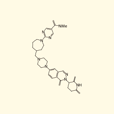 C=C1CCC(N2N=Cc3cc(N4CCN(CC5CCCN(c6ncc(C(=C)NC)cn6)CC5)CC4)ccc3C2=C)C(=C)N1